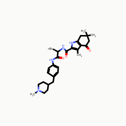 CCCCC(NC(=O)c1[nH]c2c(c1C)C(=O)CC(C)(C)C2)C(=O)Nc1ccc(CC2CCN(C)CC2)cc1